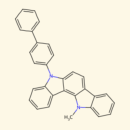 Cn1c2ccccc2c2ccc3c(c4ccccc4n3-c3ccc(-c4ccccc4)cc3)c21